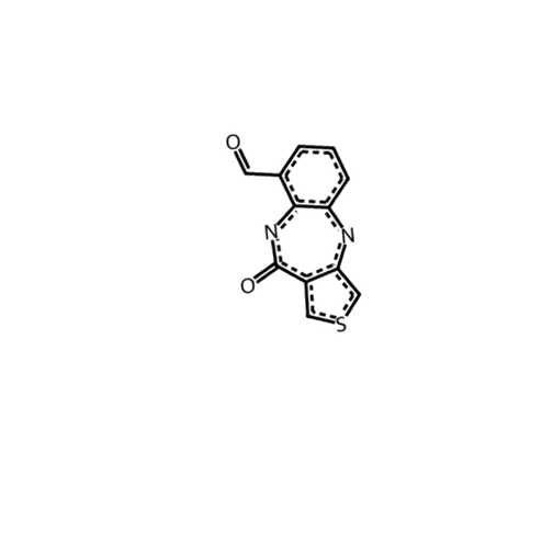 O=Cc1cccc2nc3cscc3c(=O)nc12